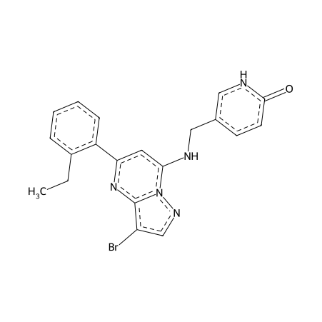 CCc1ccccc1-c1cc(NCc2ccc(=O)[nH]c2)n2ncc(Br)c2n1